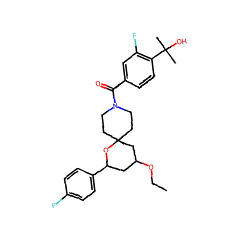 CCOC1CC(c2ccc(F)cc2)OC2(CCN(C(=O)c3ccc(C(C)(C)O)c(F)c3)CC2)C1